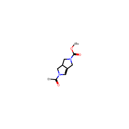 CCC(=O)N1C=C2CN(C(=O)OC(C)(C)C)CC2C1